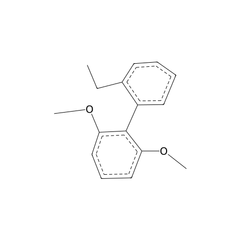 CCc1ccccc1-c1c(OC)cccc1OC